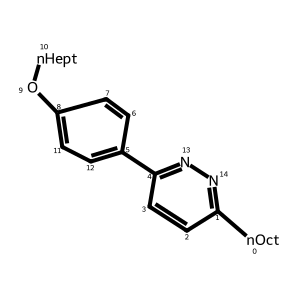 CCCCCCCCc1ccc(-c2ccc(OCCCCCCC)cc2)nn1